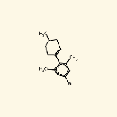 Cc1cc(Br)cc(C)c1C1=CCN(C)CC1